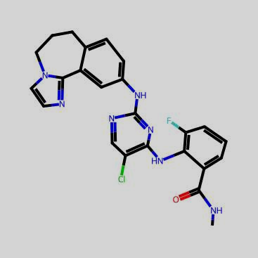 CNC(=O)c1cccc(F)c1Nc1nc(Nc2ccc3c(c2)-c2nccn2CCC3)ncc1Cl